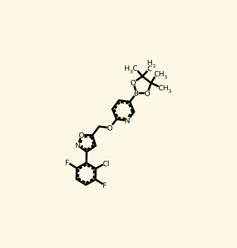 CC1(C)OB(c2ccc(OCc3cc(-c4c(F)ccc(F)c4Cl)no3)nc2)OC1(C)C